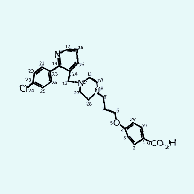 O=C(O)c1ccc(OCCCN2CCN(Cc3cccnc3-c3ccc(Cl)cc3)CC2)cc1